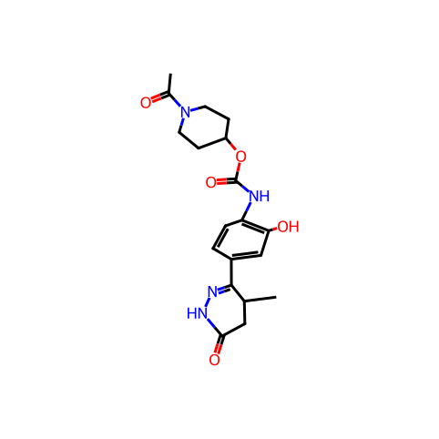 CC(=O)N1CCC(OC(=O)Nc2ccc(C3=NNC(=O)CC3C)cc2O)CC1